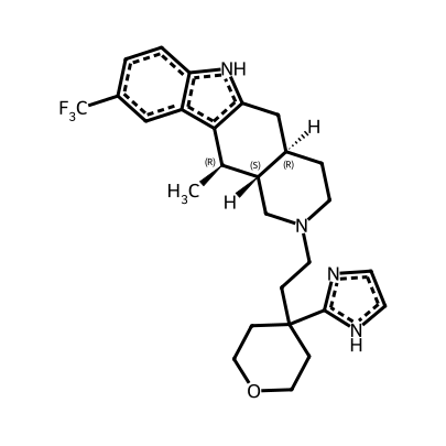 C[C@H]1c2c([nH]c3ccc(C(F)(F)F)cc23)C[C@H]2CCN(CCC3(c4ncc[nH]4)CCOCC3)C[C@@H]21